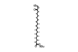 CC(C)(C)OC(=O)CCCCCCCCCCCCCCCCC(=O)OC(C)(C)C